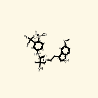 COc1ccc2[nH]cc(CCNCC(C)(O)C(=O)Nc3ccc([N+](=O)[O-])c(C(F)(F)F)c3)c2c1